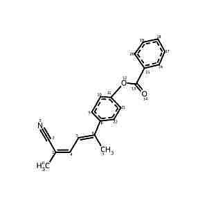 C/C(C#N)=C/C=C(\C)c1ccc(OC(=O)c2ccccc2)cc1